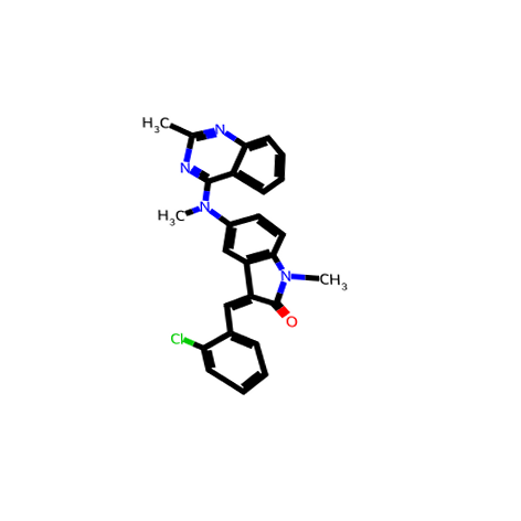 Cc1nc(N(C)c2ccc3c(c2)/C(=C/c2ccccc2Cl)C(=O)N3C)c2ccccc2n1